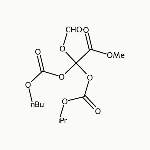 CCCCOC(=O)OC(O[C]=O)(OC(=O)OC(C)C)C(=O)OC